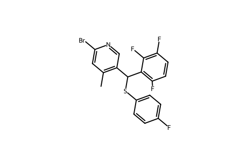 Cc1cc(Br)ncc1C(Sc1ccc(F)cc1)c1c(F)ccc(F)c1F